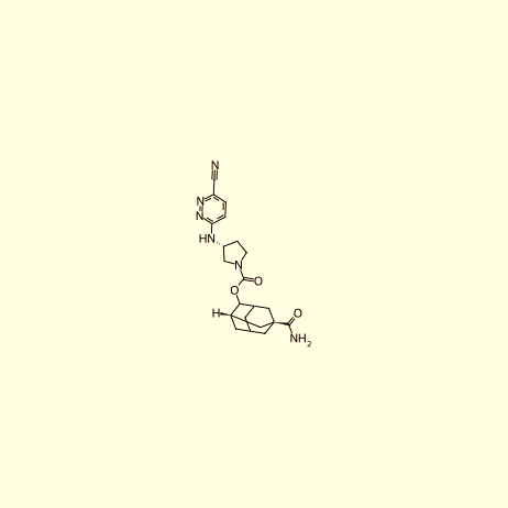 N#Cc1ccc(N[C@@H]2CCN(C(=O)OC3C4CC5C[C@H]3C[C@@](C(N)=O)(C5)C4)C2)nn1